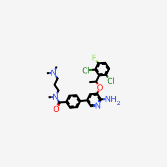 CC(Oc1cc(-c2ccc(C(=O)N(C)CCCN(C)C)cc2)cnc1N)c1c(Cl)ccc(F)c1Cl